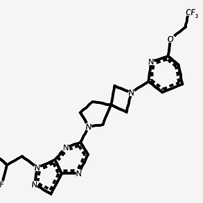 FC(F)Cn1ncc2ncc(N3CCC4(CN(c5cccc(OCC(F)(F)F)n5)C4)C3)nc21